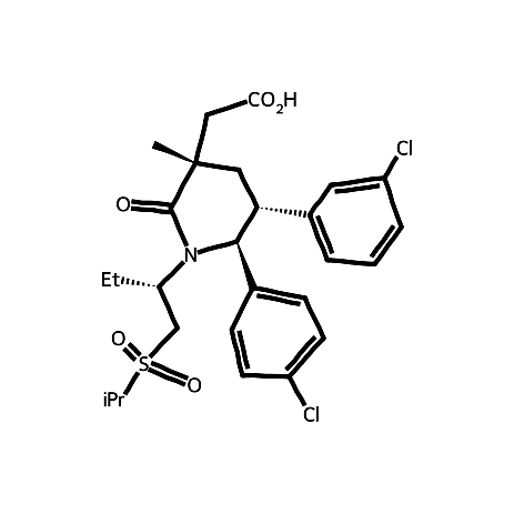 CC[C@@H](CS(=O)(=O)C(C)C)N1C(=O)[C@](C)(CC(=O)O)C[C@H](c2cccc(Cl)c2)[C@H]1c1ccc(Cl)cc1